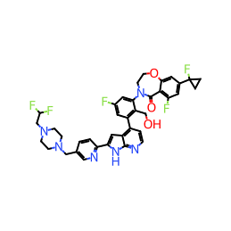 O=C1c2c(F)cc(C3(F)CC3)cc2OCCN1c1cc(F)cc(-c2ccnc3[nH]c(-c4ccc(CN5CCN(CC(F)F)CC5)cn4)cc23)c1CO